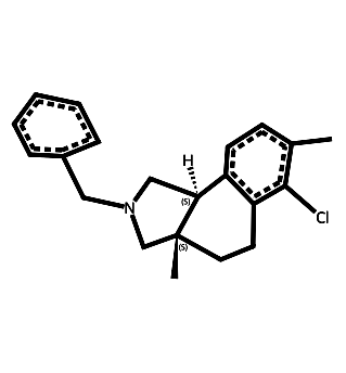 Cc1ccc2c(c1Cl)CC[C@]1(C)CN(Cc3ccccc3)C[C@@H]21